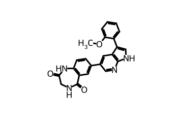 COc1ccccc1-c1c[nH]c2ncc(-c3ccc4c(c3)C(=O)NCC(=O)N4)cc12